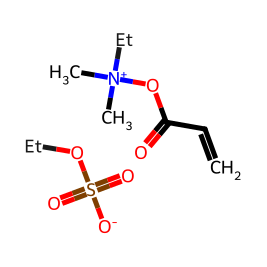 C=CC(=O)O[N+](C)(C)CC.CCOS(=O)(=O)[O-]